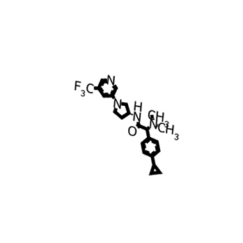 CN(C)C(C(=O)N[C@@H]1CCN(c2cncc(C(F)(F)F)c2)C1)c1ccc(C2CC2)cc1